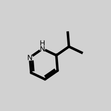 CC(C)[C]1C=CC=NN1